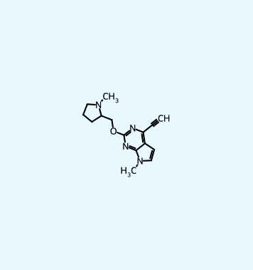 C#Cc1nc(OCC2CCCN2C)nc2c1ccn2C